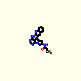 C=CC(=O)N[C@H]1Cc2c(-c3cnc4ccccc4c3)c3c(N)ncnc3n2C1